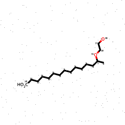 CC(CCCCCCCCCCCCC(=O)O)OCC[O]